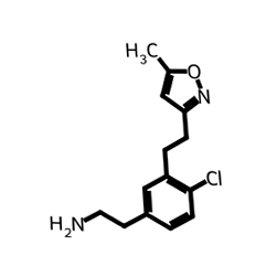 Cc1cc(CCc2cc(CCN)ccc2Cl)no1